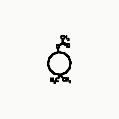 CC(=O)OC1CCCCCC(C)(C)CCCCC1